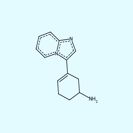 NC1CCC=C(c2cnc3ccccn23)C1